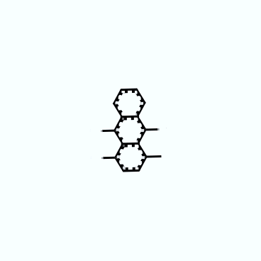 CC(=O)Oc1ccc(C)c2c(OC(C)=O)c3ccccc3c(OC(C)=O)c12